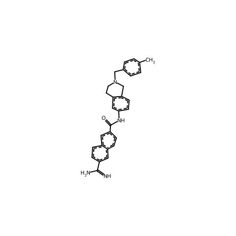 Cc1ccc(CN2CCc3cc(NC(=O)c4ccc5cc(C(=N)N)ccc5c4)ccc3C2)cc1